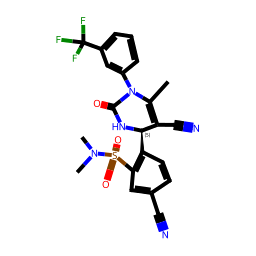 CC1=C(C#N)[C@@H](c2ccc(C#N)cc2S(=O)(=O)N(C)C)NC(=O)N1c1cccc(C(F)(F)F)c1